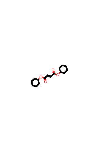 O=C(/C=C/C(=O)OC1CCCCC1)OC1CCCCC1